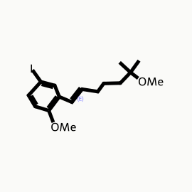 COc1ccc(I)cc1/C=C/CCCC(C)(C)OC